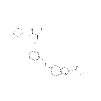 CC(C)(C)OCC(NCc1cccc(NCc2ccc3cc(C(=O)NO)sc3c2)c1)C(=O)OC1CCCC1